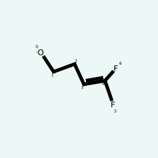 [O]CCC=C(F)F